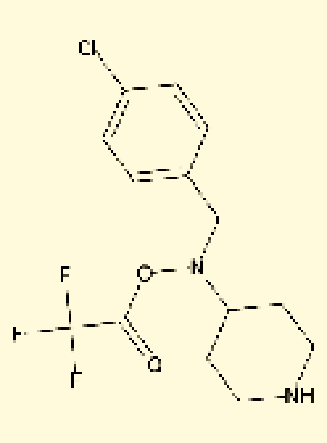 O=C(ON(Cc1ccc(Cl)cc1)C1CCNCC1)C(F)(F)F